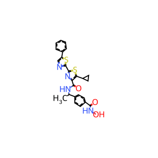 CC(NC(=O)c1nc(-c2ncc(-c3ccccc3)s2)sc1C1CC1)c1ccc(C(=O)NO)cc1